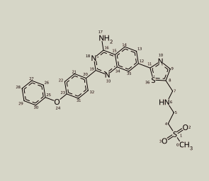 CS(=O)(=O)CCNCc1cnc(-c2ccc3c(N)nc(-c4ccc(Oc5ccccc5)cc4)nc3c2)s1